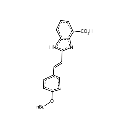 CCCCOc1ccc(/C=C/c2nc3c(C(=O)O)cccc3[nH]2)cc1